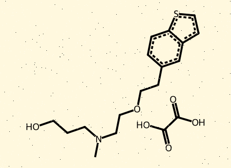 CN(CCCO)CCOCCc1ccc2sccc2c1.O=C(O)C(=O)O